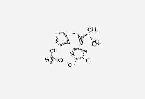 CC(C)N(Cc1ccccc1)c1cnc(C=O)c(Cl)n1.O=[PH2]Cl